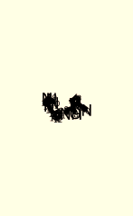 N#CC1CCCN1C(=O)CNC1CCC(Cn2cnnn2)C1